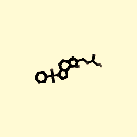 NC(=O)OCc1nc2cnc3c(ccn3S(=O)(=O)c3ccccc3)c2[nH]1